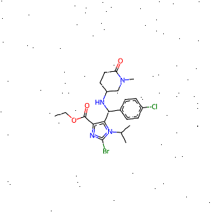 CCOC(=O)c1nc(Br)n(C(C)C)c1C(NC1CCC(=O)N(C)C1)c1ccc(Cl)cc1